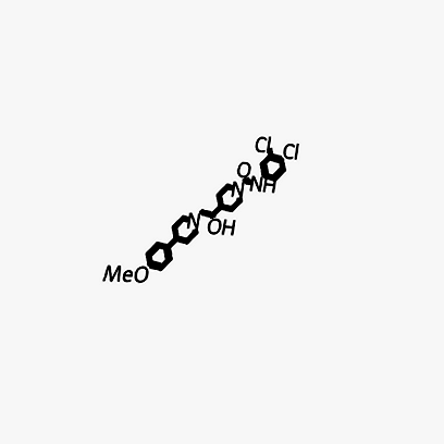 COc1ccc(C2CCN(CC(O)C3CCN(C(=O)Nc4ccc(Cl)c(Cl)c4)CC3)CC2)cc1